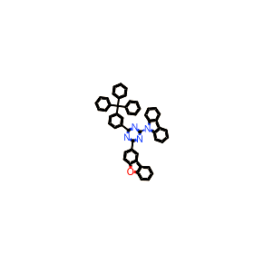 c1ccc(C(c2ccccc2)(c2ccccc2)c2cccc(-c3nc(-c4ccc5oc6ccccc6c5c4)nc(-n4c5ccccc5c5ccccc54)n3)c2)cc1